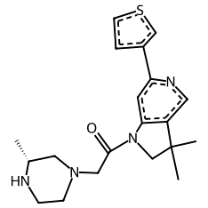 C[C@@H]1CN(CC(=O)N2CC(C)(C)c3cnc(-c4ccsc4)cc32)CCN1